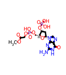 COC(=O)COP(=O)(O)OC[C@H]1O[C@@H](n2cnc3c(=O)[nH]c(N)nc32)C[C@H]1OP(=O)(O)O